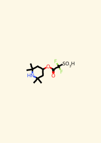 CC1(C)CC(OC(=O)C(F)(F)S(=O)(=O)O)CC(C)(C)N1